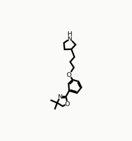 CC1(C)COC(c2cccc(OCCCC3CCNC3)c2)=N1